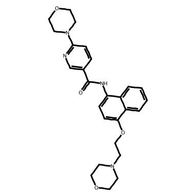 O=C(Nc1ccc(OCCN2CCOCC2)c2ccccc12)c1ccc(N2CCOCC2)nc1